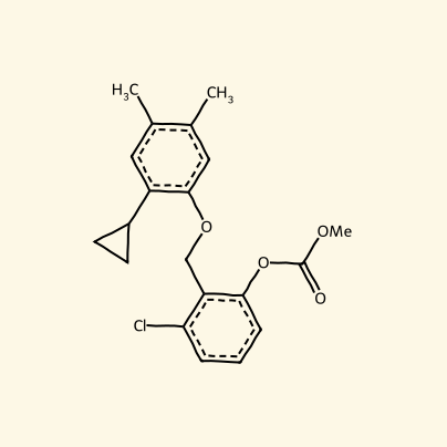 COC(=O)Oc1cccc(Cl)c1COc1cc(C)c(C)cc1C1CC1